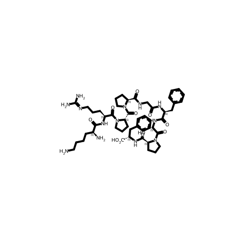 NCCCC[C@H](N)C(=O)N[C@@H](CCCN=C(N)N)C(=O)N1CCC[C@H]1C(=O)N1CCC[C@H]1C(=O)NCC(=O)N[C@@H](Cc1ccccc1)C(=O)N[C@@H](CO)C(=O)N1CCC[C@H]1C(=O)N[C@@H](Cc1ccccc1)C(=O)O